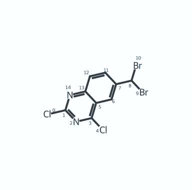 Clc1nc(Cl)c2cc(C(Br)Br)ccc2n1